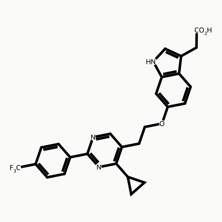 O=C(O)Cc1c[nH]c2cc(OCCc3cnc(-c4ccc(C(F)(F)F)cc4)nc3C3CC3)ccc12